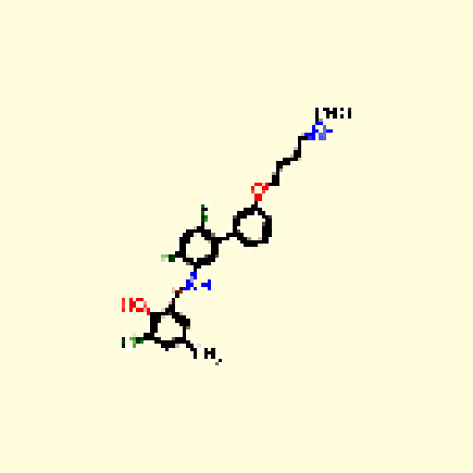 Cc1cc(Cl)c(O)c(SNc2cc(-c3cccc(OCCCCNC=O)c3)c(F)cc2F)c1